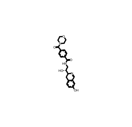 O=C(NC[C@@H](O)C1Cc2ccc(O)cc2C=N1)c1ccc(C(=O)N2CCOCC2)cc1